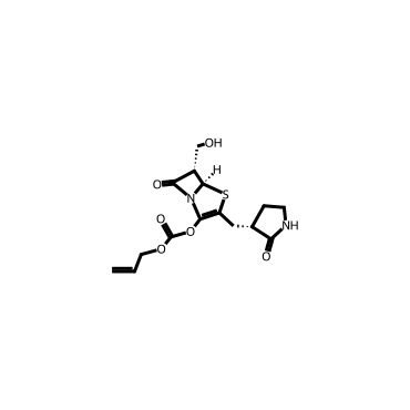 C=CCOC(=O)OC1=C(C[C@@H]2CCNC2=O)S[C@@H]2[C@@H](CO)C(=O)N12